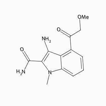 COCC(=O)c1cccc2c1c(N)c(C(N)=O)n2C